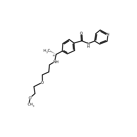 COCCOCCCN[C@H](C)c1ccc(C(=O)Nc2ccncc2)cc1